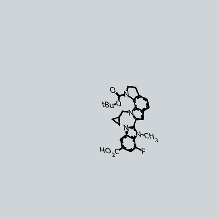 Cn1c(-c2cc3ccc4c(c3n2CC2CC2)N(C(=O)OC(C)(C)C)CC4)nc2cc(C(=O)O)cc(F)c21